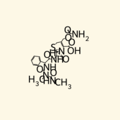 CNC(=O)N(C)C(=O)NC(C(=O)NC1C(=O)N2C(C(=O)O)=C(COC(N)=O)CS[C@@H]12)c1ccccc1